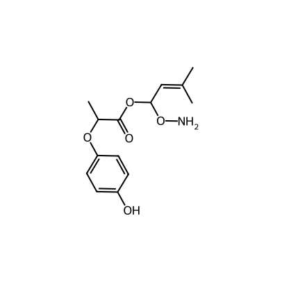 CC(C)=CC(ON)OC(=O)C(C)Oc1ccc(O)cc1